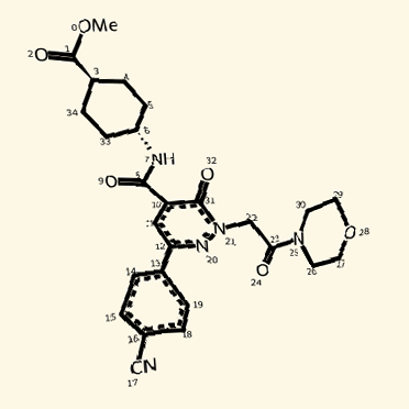 COC(=O)[C@H]1CC[C@H](NC(=O)c2cc(-c3ccc(C#N)cc3)nn(CC(=O)N3CCOCC3)c2=O)CC1